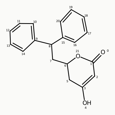 O=C1C=C(O)CC(CC(c2ccccc2)c2ccccc2)O1